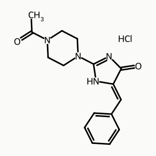 CC(=O)N1CCN(C2=NC(=O)C(=Cc3ccccc3)N2)CC1.Cl